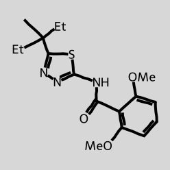 CCC(C)(CC)c1nnc(NC(=O)c2c(OC)cccc2OC)s1